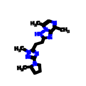 CC1=CN=C(C)C2=NC(CCc3nc(N4CCCC4C)nn3C)NN12